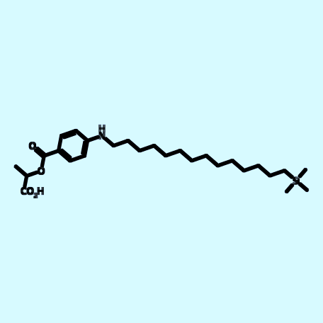 CC(OC(=O)c1ccc(NCCCCCCCCCCCCCC[Si](C)(C)C)cc1)C(=O)O